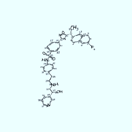 CC(c1ccc2cc(F)ccc2c1)c1nc(-c2ccc(S(=O)(=O)Nc3ccc(CCNCC(O)c4cccnc4)cc3)cc2)no1